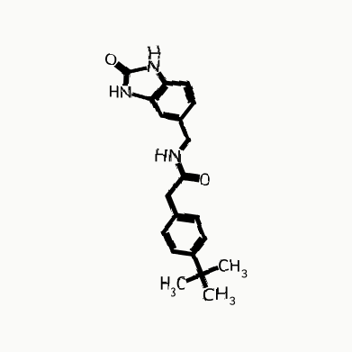 CC(C)(C)c1ccc(CC(=O)NCc2ccc3[nH]c(=O)[nH]c3c2)cc1